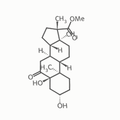 COC(=O)[C@@]1(C)CC[C@H]2[C@@H]3CC(=O)[C@@]4(O)C[C@@H](O)CC[C@]4(C)[C@H]3CC[C@@]21C